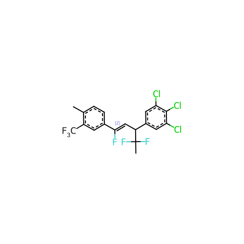 Cc1ccc(/C(F)=C/C(c2cc(Cl)c(Cl)c(Cl)c2)C(C)(F)F)cc1C(F)(F)F